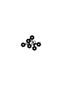 c1ccc(-c2nc(-n3c4ccccc4c4ccc5c(c6ccccc6n5-c5ccccc5)c43)oc2-c2ccccc2)cc1